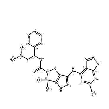 Cc1nc(Nc2n[nH]c3c2CN(C(=O)OC(CN(C)C)c2ccccc2)C3(C)C)c2ccsc2n1